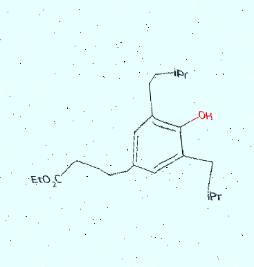 CCOC(=O)CCc1cc(CC(C)C)c(O)c(CC(C)C)c1